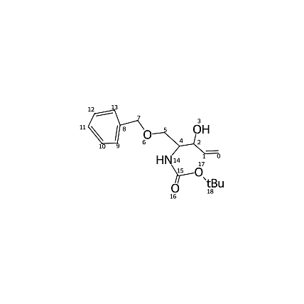 C=CC(O)C(COCc1ccccc1)NC(=O)OC(C)(C)C